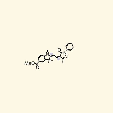 COC(=O)c1ccc2c(c1)C(C)(C)/C(=C\C=C1/C(=O)N(C3=CCCC=C3)N=C1C)N2C